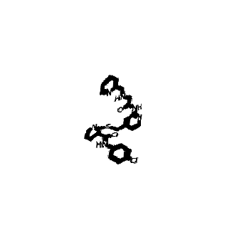 O=C(CNCc1ccccn1)Nc1cc(CSc2ncccc2C(=O)Nc2ccc(Cl)cc2)ccn1